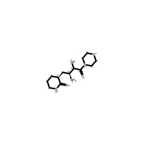 N[C@@H](C[C@@H]1CCCNC1=O)C(O)C(=O)N1CCOCC1